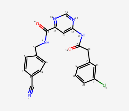 N#Cc1ccc(CNC(=O)c2cc(NC(=O)Cc3cccc(Cl)c3)ncn2)cc1